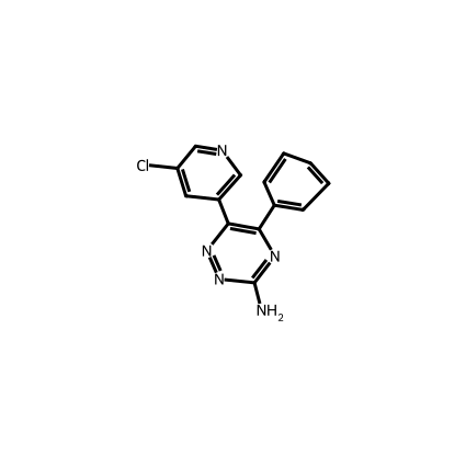 Nc1nnc(-c2cncc(Cl)c2)c(-c2ccccc2)n1